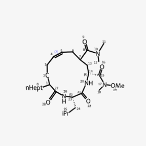 CCCCCCCC1CC/C=C\CC(C(=O)N(C)C)C[C@H](C(=O)N(C)OC)NC(=O)[C@H](CC(C)C)NC1=O